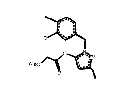 COCC(=O)Oc1cc(C)nn1Cc1ccc(C)c(Cl)c1